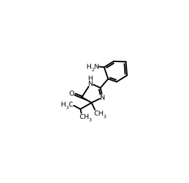 CC(C)C1(C)N=C(c2ccccc2N)NC1=O